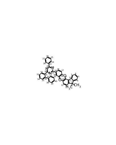 CC1(C)c2ccccc2-c2c1ccc1c2Oc2ccc(-c3nc(-c4ccccc4)nc(-c4ccccc4-c4ccccc4)n3)cc2O1